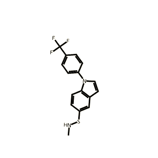 CNSc1ccc2c(ccn2-c2ccc(C(F)(F)F)cc2)c1